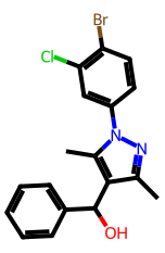 Cc1nn(-c2ccc(Br)c(Cl)c2)c(C)c1C(O)c1ccccc1